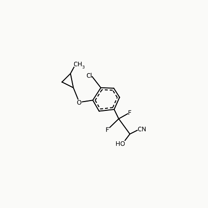 CC1CC1Oc1cc(C(F)(F)C(O)C#N)ccc1Cl